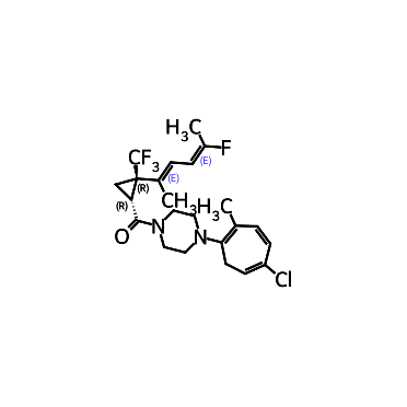 CC1=C(N2CCN(C(=O)[C@@H]3C[C@@]3(/C(C)=C/C=C(\C)F)C(F)(F)F)CC2)CC=C(Cl)C=C1